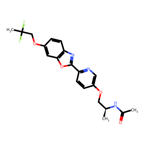 CC(=O)N[C@@H](C)COc1ccc(-c2nc3ccc(OCC(C)(F)F)cc3o2)nc1